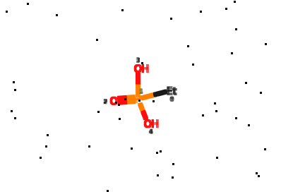 [CH2]CP(=O)(O)O